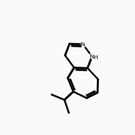 CC(C)C1=CC2=C(CC=C1)NN=CC2